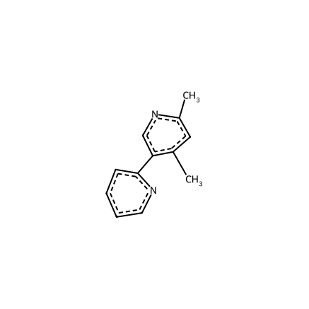 Cc1cc(C)c(-c2ccccn2)cn1